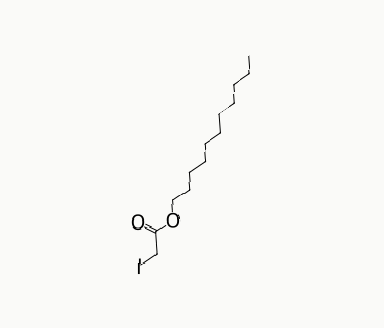 CCCCCCCCCCCOC(=O)CI